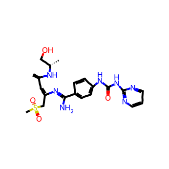 C=C(/C=C(CS(C)(=O)=O)\N=C(/N)c1ccc(NC(=O)Nc2ncccn2)cc1)N[C@@H](C)CO